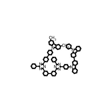 Cc1ccc2c(c1)c1cc(C)ccc1n2-c1ccc(-c2ccc(-c3nc(-c4ccccc4)nc(-c4cccc(-c5cccc(-c6nc(-c7ccccc7)nc(-c7ccc(-n8c9ccccc9c9ccc(-c%10ccc%11c(c%10)c%10ccccc%10n%11-c%10ccccc%10)cc98)cc7)n6)c5)c4)n3)cc2)cc1